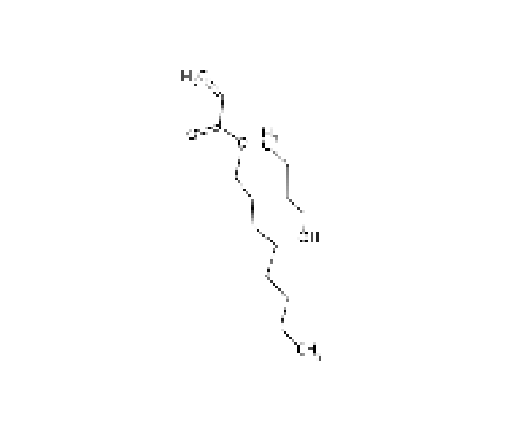 C=CC(=O)OCCCCCCCC.CCCCO